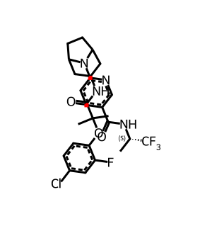 C[C@H](NC(=O)c1ccc(N2C3CCC2CC(NC(=O)C(C)(C)Oc2ccc(Cl)cc2F)C3)nc1)C(F)(F)F